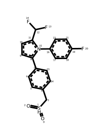 O=[SH](=O)Cc1ccc(-c2ccc(C(F)F)n2-c2ccc(F)cc2)cc1